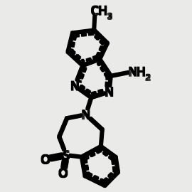 Cc1ccc2nc(N3CCS(=O)(=O)c4ccccc4C3)nc(N)c2c1